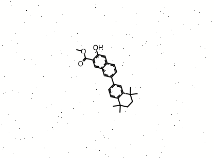 COC(=O)c1cc2cc(-c3ccc4c(c3)C(C)(C)CCC4(C)C)ccc2cc1O